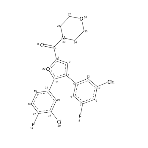 O=C(c1cc(-c2cc(F)cc(Cl)c2)c(-c2ccc(F)c(Cl)c2)o1)N1CCOCC1